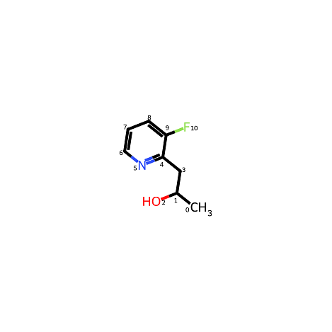 CC(O)Cc1ncccc1F